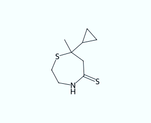 CC1(C2CC2)CC(=S)NCCS1